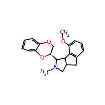 COc1cccc2c1C1C(C2)CN(C)C1[C@@H]1COc2ccccc2O1